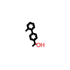 Cc1ccccc1-c1ccc(C(C)O)cc1